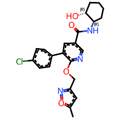 Cc1cc(COc2ncc(C(=O)N[C@@H]3CCCC[C@H]3O)cc2-c2ccc(Cl)cc2)no1